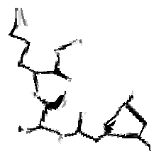 CCCCC(NC(=O)C(C)NC(=O)Cc1cc(F)cc(F)c1)C(=O)OC